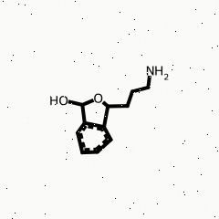 NCCCC1OC(O)c2ccccc21